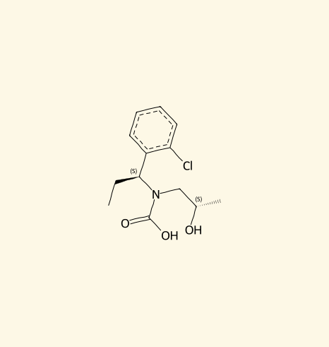 CC[C@@H](c1ccccc1Cl)N(C[C@H](C)O)C(=O)O